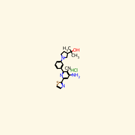 CC(C)(O)C1CCN(c2cccc(-c3nc(-c4nccs4)cc(N)c3C#N)c2)C1.Cl